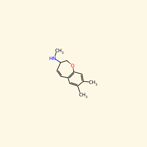 CNC1C=Cc2cc(C)c(C)cc2OC1